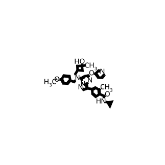 COc1ccc(CN(CC2CC(C)(O)C2)c2cc(Oc3cccnc3)nc3c(-c4ccc(C(=O)NC5CC5)c(C)c4)cnn23)cc1